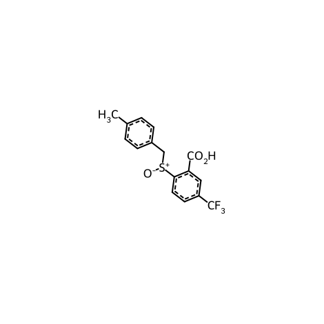 Cc1ccc(C[S+]([O-])c2ccc(C(F)(F)F)cc2C(=O)O)cc1